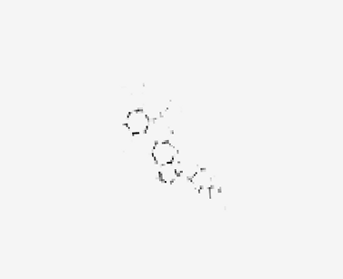 COc1ccc(F)cc1[C@@H](C)Oc1ccn2ncc(C3=NOC(C)(C)N3)c2n1